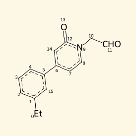 CCc1cccc(-c2ccn(CC=O)c(=O)c2)c1